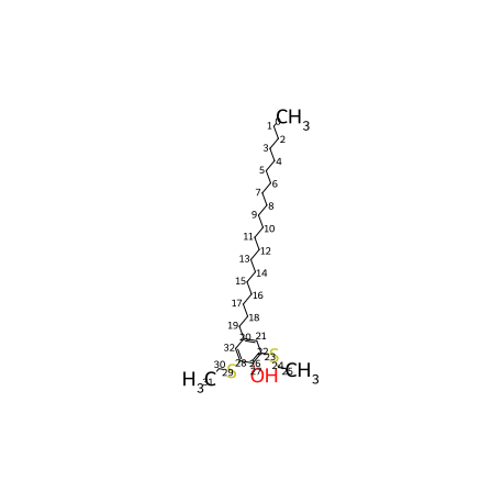 CCCCCCCCCCCCCCCCCCCCc1cc(SCC)c(O)c(SCC)c1